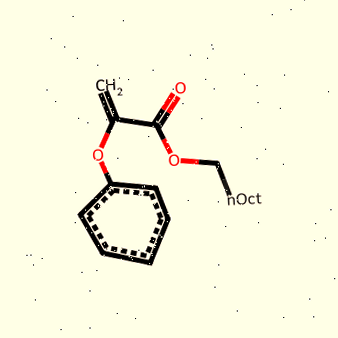 C=C(Oc1ccccc1)C(=O)OCCCCCCCCC